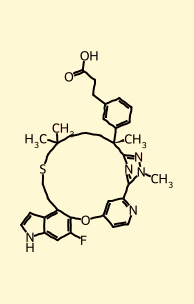 Cn1nc2nc1-c1cc(ccn1)Oc1c(F)cc3[nH]ccc3c1CCSCC(C)(C)CCC[C@]2(C)c1cccc(CCC(=O)O)c1